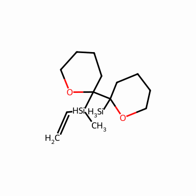 C=C[SiH](C)C1(C2([SiH3])CCCCO2)CCCCO1